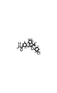 CNC(=O)c1cccc(CN2C(=O)C3(C[C@@H]3c3ccc(Cl)cc3)c3ccccc32)c1